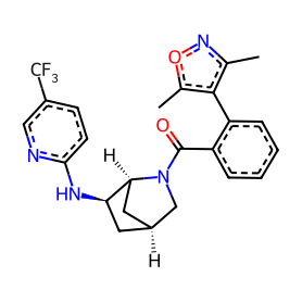 Cc1noc(C)c1-c1ccccc1C(=O)N1C[C@H]2C[C@@H](Nc3ccc(C(F)(F)F)cn3)[C@@H]1C2